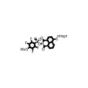 CCCCCCCSc1ccc2c3c(cccc13)C(=O)N(OS(=O)(=O)c1c(F)c(F)c(SC)c(F)c1F)C2=O